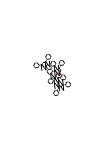 c1ccc(-c2cc(-c3ccccc3)nc(-c3ccc(N4c5ccccc5N(c5nc(-c6ccccc6)nc(-c6ccccc6)n5)c5ccccc54)c(-c4nc(-c5ccccc5)cc(-c5ccccc5)n4)c3-c3ccccc3)n2)cc1